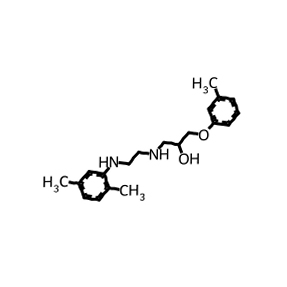 Cc1cccc(OCC(O)CNCCNc2cc(C)ccc2C)c1